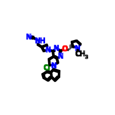 CN1CCC[C@H]1COc1nc2c(c(N3CC(CNC#N)C3)n1)CCN(c1cccc3cccc(Cl)c13)C2